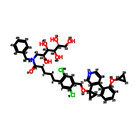 O=C(CCCCc1cc(Cl)c(COC2(c3cnccc3-c3ccccc3OC3CC3)CC2)cc1Cl)N(Cc1ccccc1)C[C@H](O)[C@@H](O)[C@H](O)[C@H](O)CO